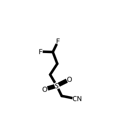 N#CCS(=O)(=O)CCC(F)F